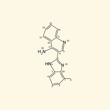 Cc1cccc2[nH]c(-c3cnc4ccccc4c3N)nc12